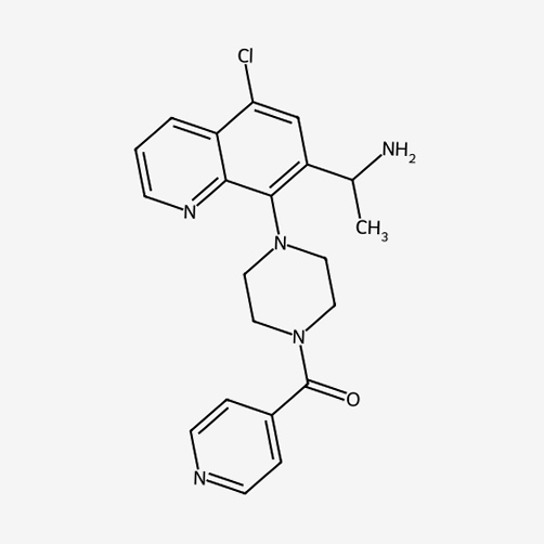 CC(N)c1cc(Cl)c2cccnc2c1N1CCN(C(=O)c2ccncc2)CC1